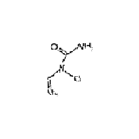 C=CN(Cl)C(N)=O